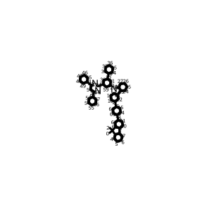 CC1(C)c2ccccc2-c2ccc(-c3ccc(-c4ccc5c(c4)c4ccccc4n5-c4cc(-c5ccccc5)cc(-c5nc(-c6ccccc6)cc(-c6ccccc6)n5)c4)cc3)cc21